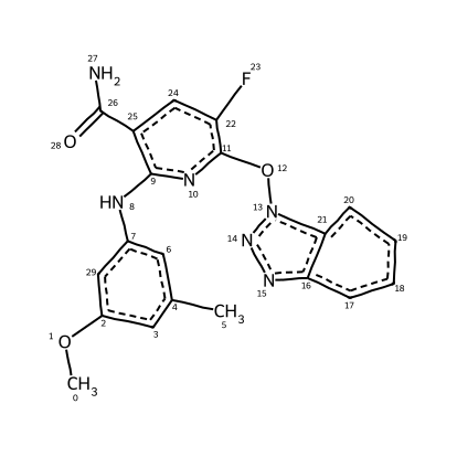 COc1cc(C)cc(Nc2nc(On3nnc4ccccc43)c(F)cc2C(N)=O)c1